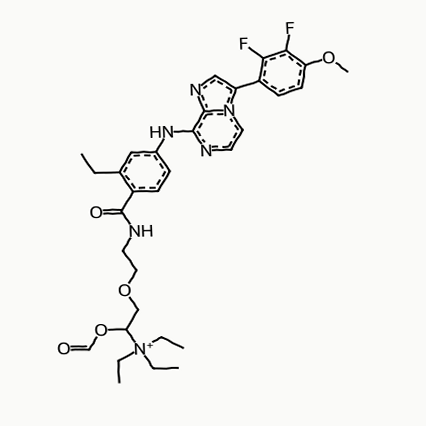 CCc1cc(Nc2nccn3c(-c4ccc(OC)c(F)c4F)cnc23)ccc1C(=O)NCCOCC(OC=O)[N+](CC)(CC)CC